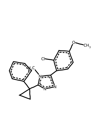 COc1ccc(-c2nnc(C3(c4ccccc4)CC3)n2C)c(Cl)c1